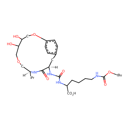 CC(C)[C@H]1COCC(O)C(O)COc2ccc(cc2)C[C@@H](NC(=O)NC(CCCCNC(=O)OC(C)(C)C)C(=O)O)C(=O)N1